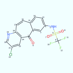 O=c1c2cc(NS(=O)(=O)C(F)(F)F)ccc2ccc2ncc(Cl)cc12